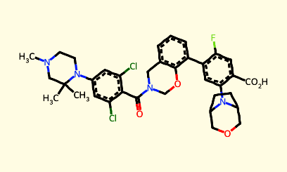 CN1CCN(c2cc(Cl)c(C(=O)N3COc4c(cccc4-c4cc(N5C6CCC5COC6)c(C(=O)O)cc4F)C3)c(Cl)c2)C(C)(C)C1